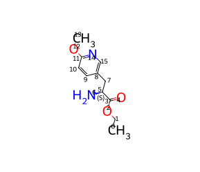 CCOC(=O)[C@@H](N)Cc1ccc(OC)nc1